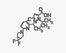 CCc1nc(N2CC3C(C2)C3(F)F)ccc1Cc1cc(C(=O)O)n(C(C)C)n1